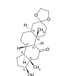 C[C@]12CCC3(C[C@@H]1CC[C@H]1[C@@H]4CC[C@H](O)[C@@]4(C)CC(=O)[C@@H]12)OCCO3